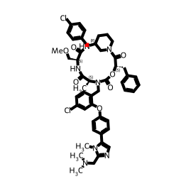 COC[C@@H]1NC(=O)[C@H](C)N(Cc2ccc(Cl)cc2Oc2ccc(-c3cnc(CN(C)C)n3C)cc2)C(=O)O[C@@H](Cc2ccccc2)C(=O)N2CCC[C@@](Cc3ccc(Cl)cc3)(C2)NC1=O